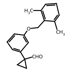 Cc1cccc(C)c1COc1cccc(C2(C=O)CC2)c1